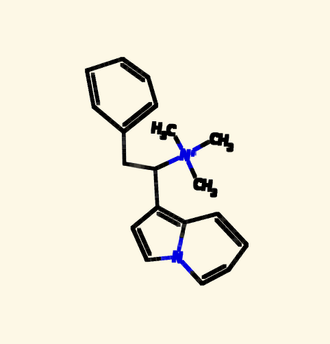 C[N+](C)(C)C(Cc1ccccc1)c1ccn2ccccc12